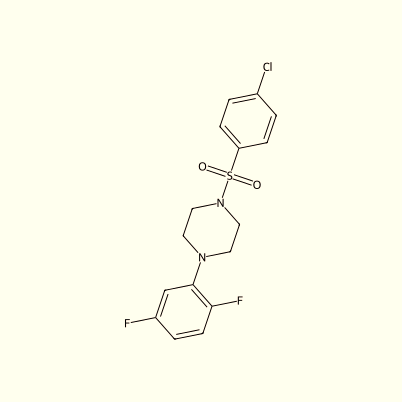 O=S(=O)(c1ccc(Cl)cc1)N1CCN(c2cc(F)ccc2F)CC1